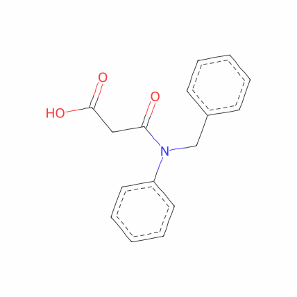 O=C(O)CC(=O)N(Cc1ccccc1)c1ccccc1